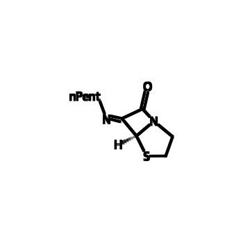 CCCCCN=C1C(=O)N2CCS[C@@H]12